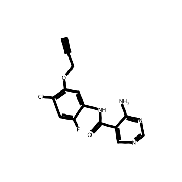 C#CCOc1cc(NC(=O)c2cncnc2N)c(F)cc1Cl